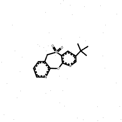 CC(C)(C)c1cnc2c(c1)S(=O)(=O)Cc1cccnc1O2